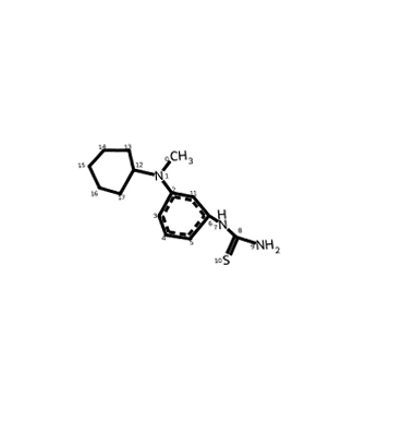 CN(c1cccc(NC(N)=S)c1)C1CCCCC1